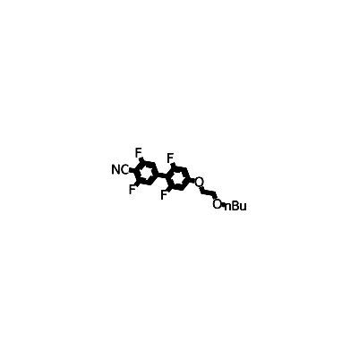 CCCCOCCOc1cc(F)c(-c2cc(F)c(C#N)c(F)c2)c(F)c1